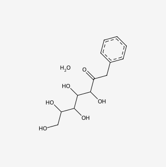 O.O=C(Cc1ccccc1)C(O)C(O)C(O)C(O)CO